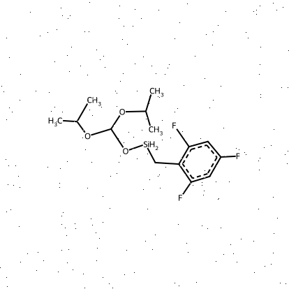 CC(C)OC(O[SiH2]Cc1c(F)cc(F)cc1F)OC(C)C